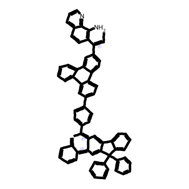 C=c1cccc/c1=c1\cc2c(c\c1=C(\C)c1ccc(-c3ccc4c5ccc(/C(=C/C)c6ccc7cccnc7c6N)cc5c5ccccc5c4c3)cc1)-c1ccccc1C2(c1ccccc1)c1ccccc1